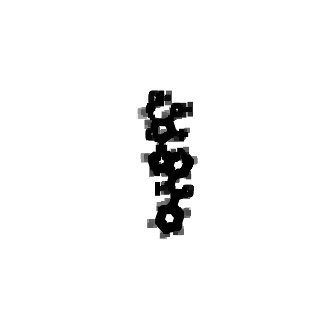 O=C(Nc1ccnc2c1ncn2[C@@H]1O[C@H](CO)[C@@H](O)[C@@H]1F)c1ccccc1